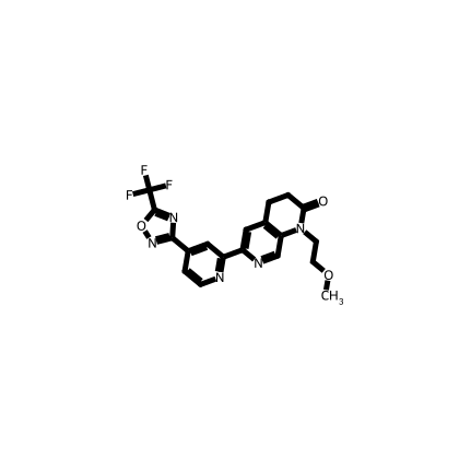 COCCN1C(=O)CCc2cc(-c3cc(-c4noc(C(F)(F)F)n4)ccn3)ncc21